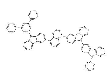 c1ccc(-c2cc(-n3c4ccccc4c4cc(-c5cccc6c(-c7ccc8c(c7)c7ccccc7n8-c7ccc8c(c7)c7ccncc7n8-c7ccccc7)cccc56)ccc43)cc(-c3ccccc3)n2)cc1